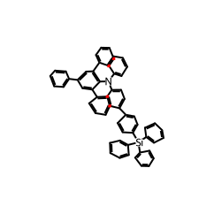 c1ccc(-c2cc(-c3ccccc3)c(N(c3ccccc3)c3ccc(-c4ccc([Si](c5ccccc5)(c5ccccc5)c5ccccc5)cc4)cc3)c(-c3ccccc3)c2)cc1